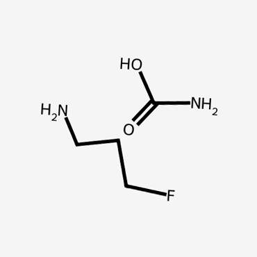 NC(=O)O.NCCCF